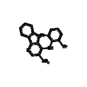 CC(C)c1cccc(C(C)C)c1Nc1c([N+](=O)[O-])cnc2c1oc1ccccc12